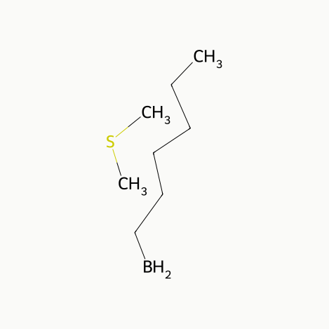 BCCCCCC.CSC